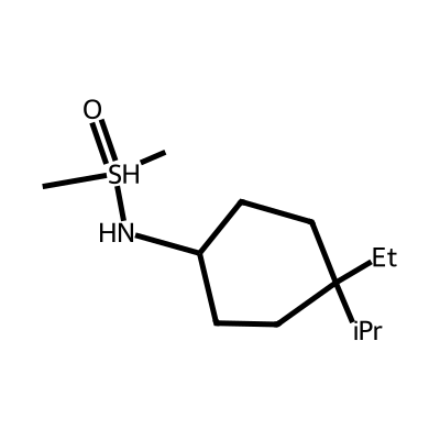 CCC1(C(C)C)CCC(N[SH](C)(C)=O)CC1